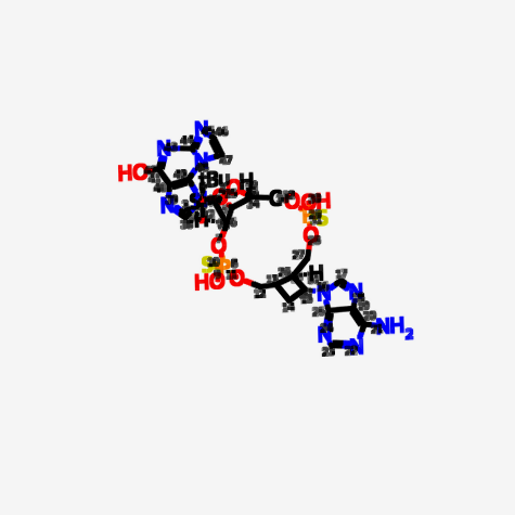 CC(C)(C)[Si](C)(C)OC1[C@H]2OP(O)(=S)OCC3C[C@@H](n4cnc5c(N)ncnc54)[C@@H]3COP(O)(=S)OC[C@H]1O[C@H]2n1cnc2c(O)nc3nccn3c21